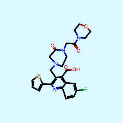 O=C(O)c1c(CN2CCN(CC(=O)N3CCOCC3)C(=O)C2)c(-c2cccs2)nc2ccc(F)cc12